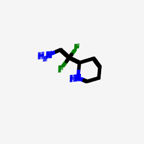 NCC(F)(F)C1CCCCN1